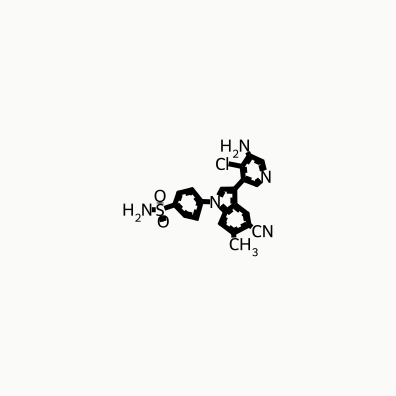 Cc1cc2c(cc1C#N)c(-c1cncc(N)c1Cl)cn2-c1ccc(S(N)(=O)=O)cc1